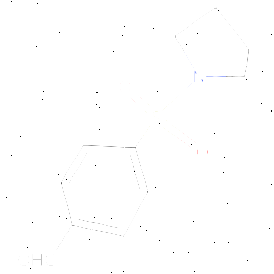 C[C@H]1CCCN1S(=O)(=O)c1ccc(C=O)cc1